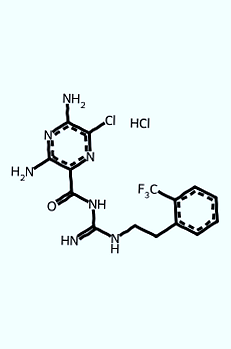 Cl.N=C(NCCc1ccccc1C(F)(F)F)NC(=O)c1nc(Cl)c(N)nc1N